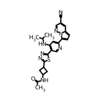 CC(=O)NC1CC(c2nnc(-c3cnc(-c4ccc5cc(C#N)cnn45)cc3NC(C)C)s2)C1